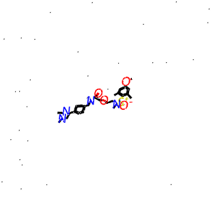 COc1cc(C)c([S+]([O-])N(C)CCOCC(=O)N(C)Cc2ccc(C3CN(C)C(C)=N3)cc2)c(C)c1